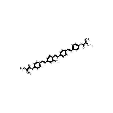 C=C(C)C(=O)Oc1ccc(/C=C/c2ccc(/C=C/c3ccc(/C=C/c4ccc(OC(=O)C(=C)C)cc4)cc3C(F)(F)F)cc2)cc1